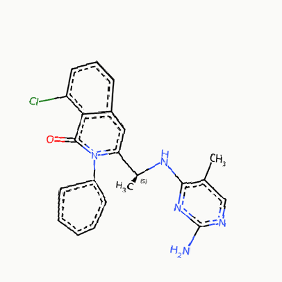 Cc1cnc(N)nc1N[C@@H](C)c1cc2cccc(Cl)c2c(=O)n1-c1ccccc1